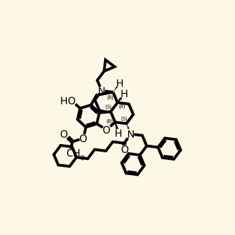 CC(=O)Oc1cc(O)c2c3c1O[C@H]1[C@@H](N(CC(c4ccccc4)c4ccccc4)C(=O)CCCCC4CCCCC4)CC[C@H]4[C@@H](C2)N(CC2CC2)CC[C@@]341